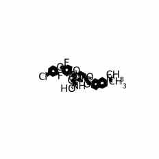 CN(C)c1ccc2ccc(S(=O)(=O)N3CCN(S(=O)(=O)c4cc(F)c(Oc5ccc(Cl)cc5)c(F)c4)[C@@H](C(=O)NO)C3)cc2c1